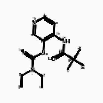 CCN(CC)C(=S)Sc1cnccc1NC(=O)C(C)(C)C